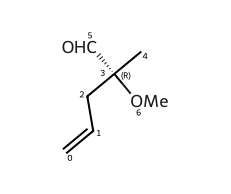 C=CC[C@](C)(C=O)OC